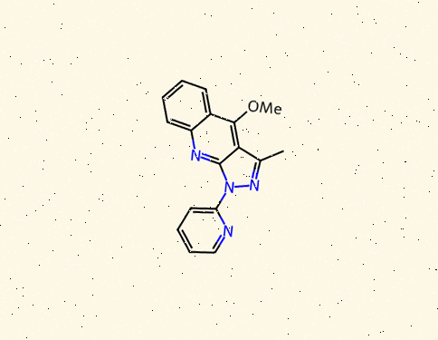 COc1c2ccccc2nc2c1c(C)nn2-c1ccccn1